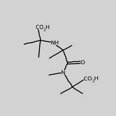 CN(C(=O)C(C)(C)NC(C)(C)C(=O)O)C(C)(C)C(=O)O